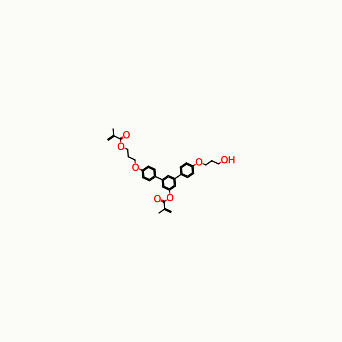 C=C(C)C(=O)OCCCOc1ccc(-c2cc(OC(=O)C(=C)C)cc(-c3ccc(OCCCO)cc3)c2)cc1